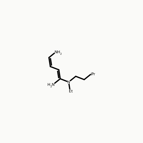 CCN(CCC(C)C)/C(N)=C/C=C\N